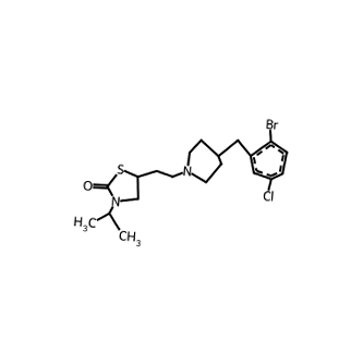 CC(C)N1CC(CCN2CCC(Cc3cc(Cl)ccc3Br)CC2)SC1=O